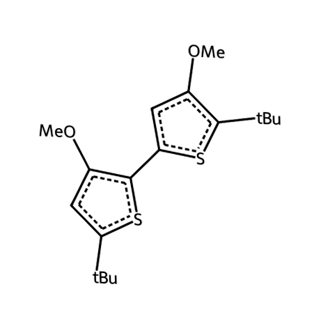 COc1cc(C(C)(C)C)sc1-c1cc(OC)c(C(C)(C)C)s1